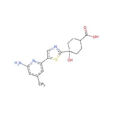 Cc1cc(N)nc(-c2cnc(C3(O)CCC(C(=O)O)CC3)s2)c1